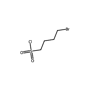 O=S(=O)(Cl)CCCCBr